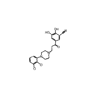 N#Cc1cc(C(=O)CCN2CCN(c3cccc(Cl)c3Cl)CC2)cc(O)c1O